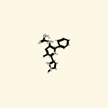 Cc1cc(NC(N)=O)c(-c2ccccc2)nc1-c1ccn(C)n1